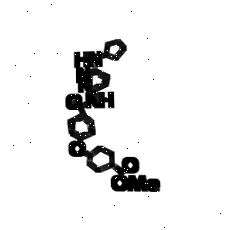 COC(=O)[C@H]1CC[C@@H](Oc2ccc(C(=O)Nc3ccc(NC4CCCC4)nn3)cc2)CC1